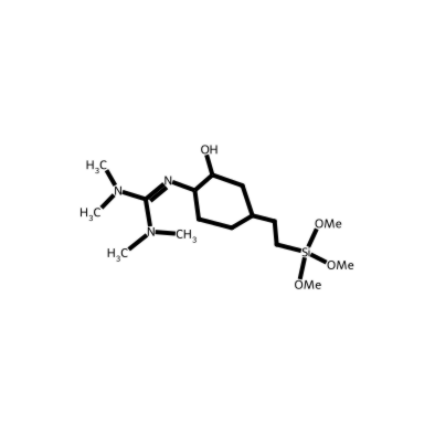 CO[Si](CCC1CCC(N=C(N(C)C)N(C)C)C(O)C1)(OC)OC